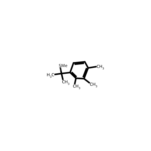 CSC(C)(C)c1ccc(C)c(C)c1C